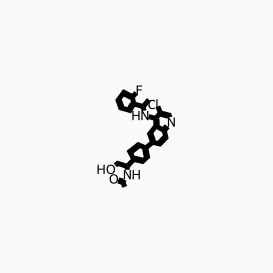 CC(=O)NC(CO)c1ccc(-c2ccc3ncc(Cl)c(NC(C)c4ccccc4F)c3c2)cc1